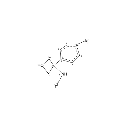 ClNC1(c2ccc(Br)cc2)COC1